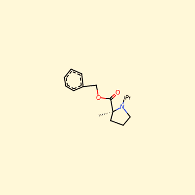 CC(C)N1CCC[C@@]1(C)C(=O)OCc1ccccc1